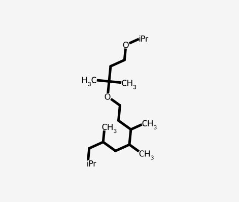 CC(C)CC(C)CC(C)C(C)CCOC(C)(C)CCOC(C)C